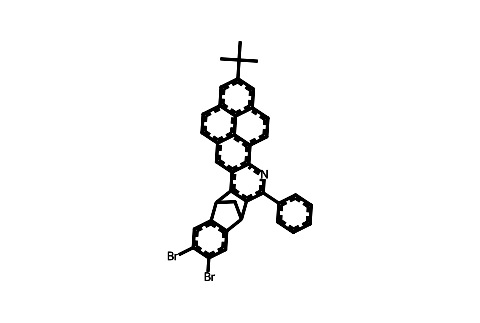 CC(C)(C)c1cc2ccc3cc4c5c(c(-c6ccccc6)nc4c4ccc(c1)c2c34)C1CC5c2cc(Br)c(Br)cc21